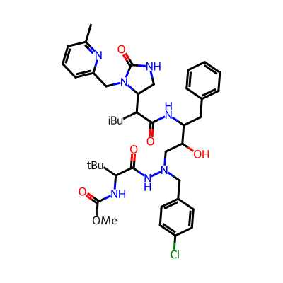 CCC(C)C(C(=O)NC(Cc1ccccc1)C(O)CN(Cc1ccc(Cl)cc1)NC(=O)C(NC(=O)OC)C(C)(C)C)C1CNC(=O)N1Cc1cccc(C)n1